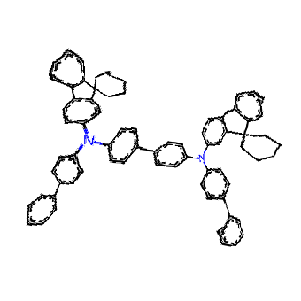 c1ccc(-c2ccc(N(c3ccc(-c4ccc(N(c5ccc(-c6ccccc6)cc5)c5ccc6c(c5)C5(CCCCC5)c5ccccc5-6)cc4)cc3)c3ccc4c(c3)C3(CCCCC3)c3ccccc3-4)cc2)cc1